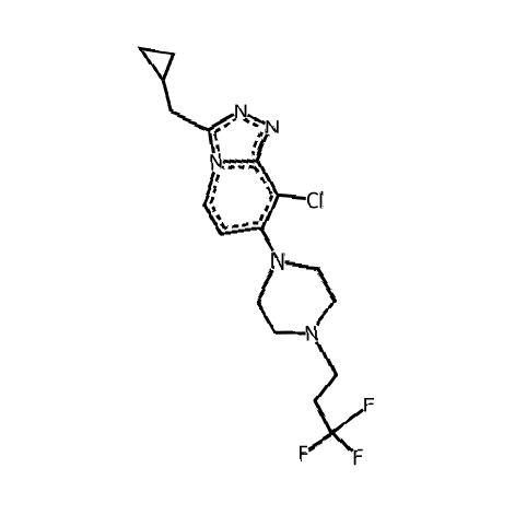 FC(F)(F)CCN1CCN(c2ccn3c(CC4CC4)nnc3c2Cl)CC1